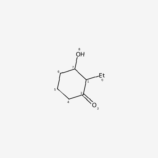 CCC1C(=O)CCCC1O